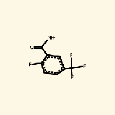 [NH]C(=O)c1cc(C(F)(F)F)ccc1F